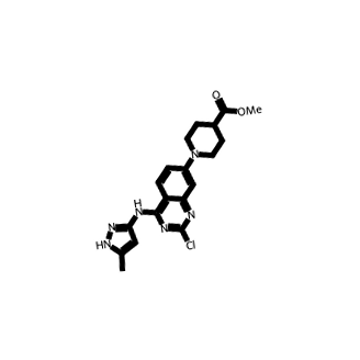 COC(=O)C1CCN(c2ccc3c(Nc4cc(C)[nH]n4)nc(Cl)nc3c2)CC1